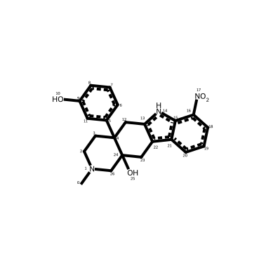 CN1CCC2(c3cccc(O)c3)Cc3[nH]c4c([N+](=O)[O-])cccc4c3CC2(O)C1